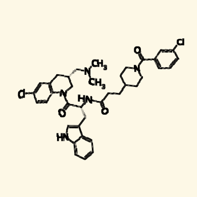 CN(C)C[C@H]1Cc2cc(Cl)ccc2N(C(=O)[C@@H](Cc2c[nH]c3ccccc23)NC(=O)CCC2CCN(C(=O)c3cccc(Cl)c3)CC2)C1